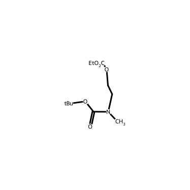 CCOC(=O)OCCN(C)C(=O)OC(C)(C)C